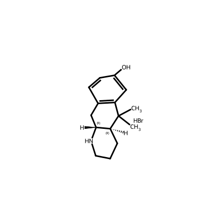 Br.CC1(C)c2cc(O)ccc2C[C@H]2NCCC[C@@H]21